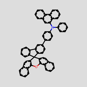 c1ccc(N(c2ccc(-c3ccc4c(c3)-c3ccccc3C43c4ccc5ccccc5c4Oc4c3ccc3ccccc43)cc2)c2cc3ccccc3c3ccccc23)cc1